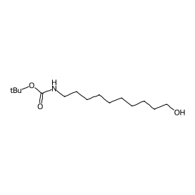 CC(C)(C)OC(=O)NCCCCCCCCCCO